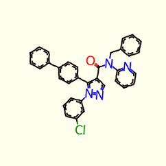 O=C(c1cnn(-c2cccc(Cl)c2)c1-c1ccc(-c2ccccc2)cc1)N(Cc1ccccc1)c1ccccn1